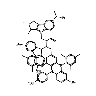 C=C[C@H](Cn1c2c(c3cc(C(C)C(C)C)ccc31)C[C@@H](C)C2C)C(CC1=CC2=C3C(C1)B(c1c(C)cc(C)cc1C)c1cc(C(C)(C)C)ccc1N3C1CC=C(C(C)(C)C)C=C1B2c1c(C)cc(C)cc1C)C1c2ccc(C(C)(C)C)cc2C2CC(C(C)(C)C)C=CC21